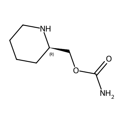 NC(=O)OC[C@H]1CCCCN1